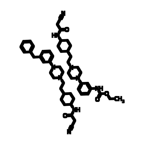 CCOC(=O)Nc1cccc(N2CCN(CCC3CCC(NC(=O)CC#N)CC3)CC2)c1.N#CCC(=O)NC1CCC(CCN2CCN(c3cccc(Cc4ccccc4)c3)CC2)CC1